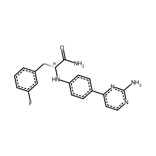 NC(=O)[C@@H](Cc1cccc(F)c1)Nc1ccc(-c2ccnc(N)n2)cc1